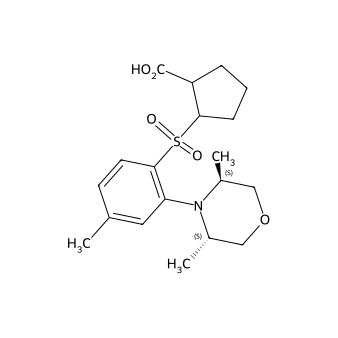 Cc1ccc(S(=O)(=O)C2CCCC2C(=O)O)c(N2[C@@H](C)COC[C@@H]2C)c1